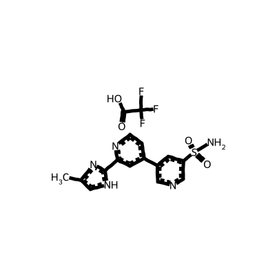 Cc1c[nH]c(-c2cc(-c3cncc(S(N)(=O)=O)c3)ccn2)n1.O=C(O)C(F)(F)F